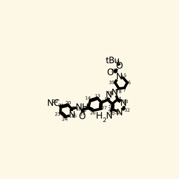 CC(C)(C)OC(=O)N1CCC[C@@H](n2nc(-c3ccc(C(=O)Nc4cc(C#N)ccn4)cc3)c3c(N)ncnc32)C1